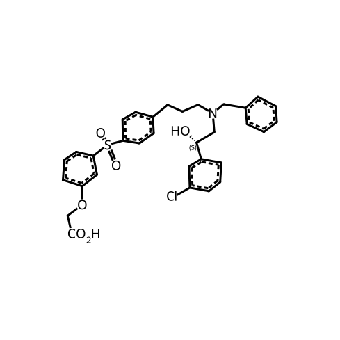 O=C(O)COc1cccc(S(=O)(=O)c2ccc(CCCN(Cc3ccccc3)C[C@@H](O)c3cccc(Cl)c3)cc2)c1